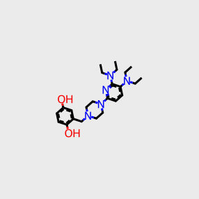 CCN(CC)c1ccc(N2CCN(Cc3cc(O)ccc3O)CC2)nc1N(CC)CC